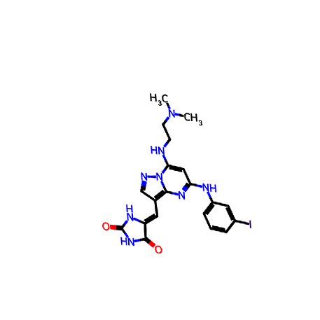 CN(C)CCNc1cc(Nc2cccc(I)c2)nc2c(/C=C3\NC(=O)NC3=O)cnn12